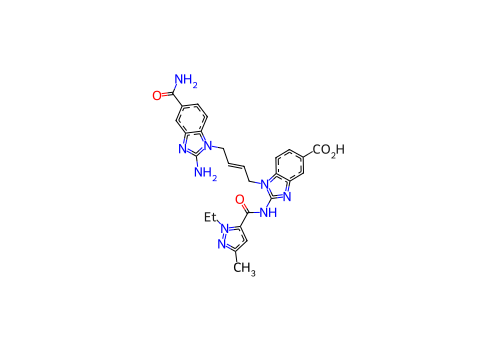 CCn1nc(C)cc1C(=O)Nc1nc2cc(C(=O)O)ccc2n1C/C=C/Cn1c(N)nc2cc(C(N)=O)ccc21